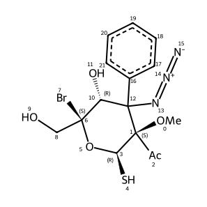 CO[C@@]1(C(C)=O)[C@@H](S)O[C@](Br)(CO)[C@H](O)C1(N=[N+]=[N-])c1ccccc1